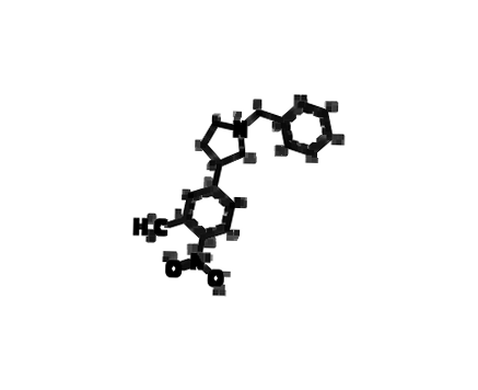 Cc1cc(C2CCN(Cc3ccccc3)C2)ccc1[N+](=O)[O-]